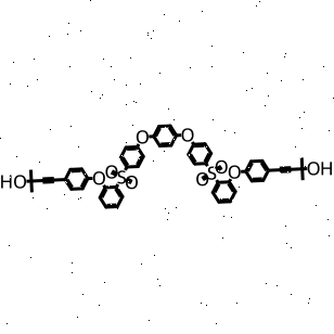 CC(C)(O)C#Cc1ccc(Oc2ccccc2S(=O)(=O)c2ccc(Oc3ccc(Oc4ccc(S(=O)(=O)c5ccccc5Oc5ccc(C#CC(C)(C)O)cc5)cc4)cc3)cc2)cc1